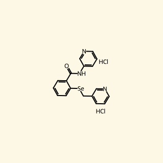 Cl.Cl.O=C(Nc1cccnc1)c1ccccc1[Se]Cc1cccnc1